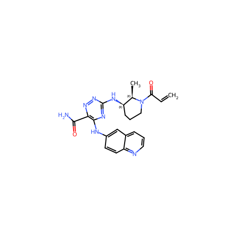 C=CC(=O)N1CCC[C@@H](Nc2nnc(C(N)=O)c(Nc3ccc4ncccc4c3)n2)[C@H]1C